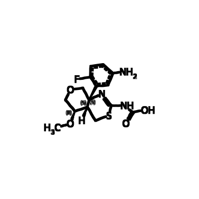 CO[C@H]1COC[C@]2(c3cc(N)ccc3F)N=C(NC(=O)O)SC[C@H]12